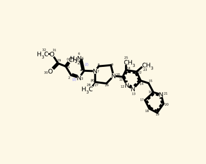 C=C(/C=N\C(=C/N)N1CCN(c2nnc(Cc3ccccn3)c(C)c2C)C[C@H]1C)C(=O)OC